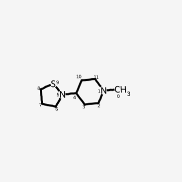 CN1CCC(N2CCCS2)CC1